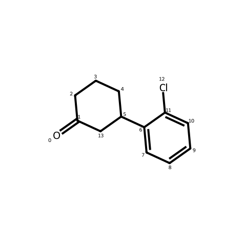 O=C1CCCC(c2ccccc2Cl)C1